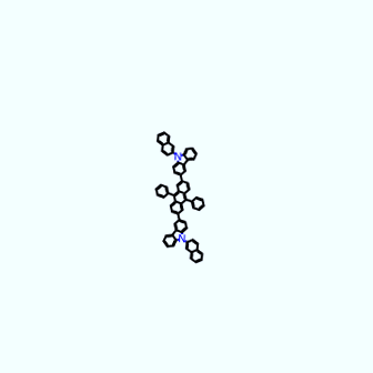 c1ccc(-c2c3ccc(-c4ccc5c(c4)c4ccccc4n5-c4ccc5ccccc5c4)cc3c(-c3ccccc3)c3ccc(-c4ccc5c(c4)c4ccccc4n5-c4ccc5ccccc5c4)cc23)cc1